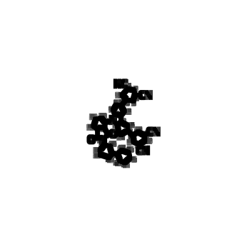 N#Cc1cc(C#N)cc(-c2ccc3c(c2)c2cc(-c4cc(C#N)cc(C#N)c4)ccc2n3-c2cccc3c2C(=O)N(c2cccc(-c4ccccc4)c2)C3=O)c1